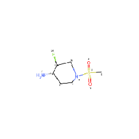 CS(=O)(=O)N1CC[C@H](N)[C@@H](F)C1